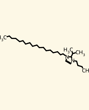 CCCCCCCCCCCCCCCCCCN1C=CN(CCCC)C1C(C)C